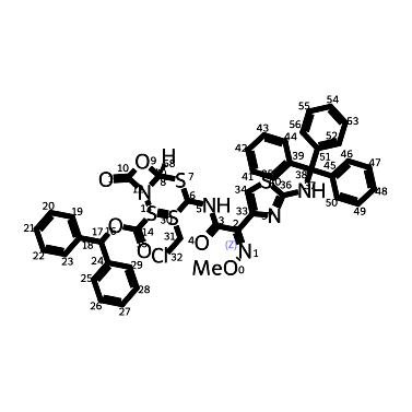 CO/N=C(\C(=O)NC1S[C@H]2OC(=O)N2S(C(=O)OC(c2ccccc2)c2ccccc2)=S1CCl)c1csc(NC(c2ccccc2)(c2ccccc2)c2ccccc2)n1